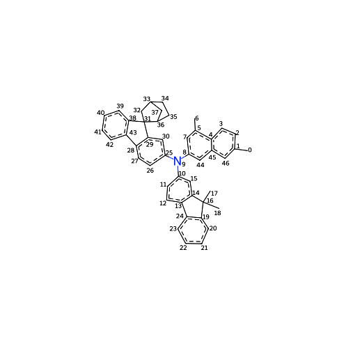 Cc1ccc2c(C)cc(N(c3ccc4c(c3)C(C)(C)c3ccccc3-4)c3ccc4c(c3)C3(CC5CCC3C5)c3ccccc3-4)cc2c1